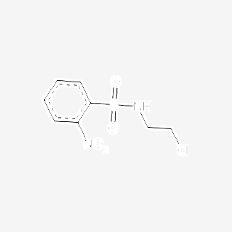 O=[N+]([O-])c1ccccc1S(=O)(=O)NCCCl